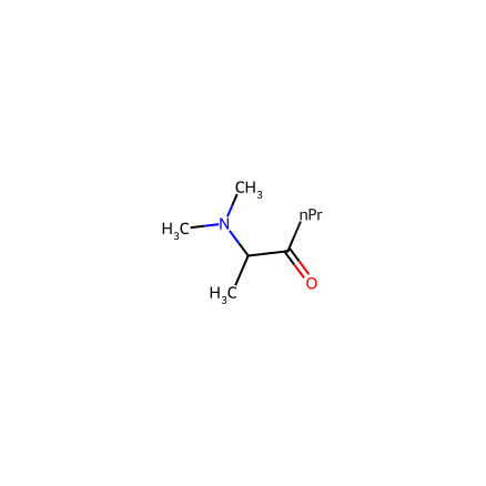 CCCC(=O)C(C)N(C)C